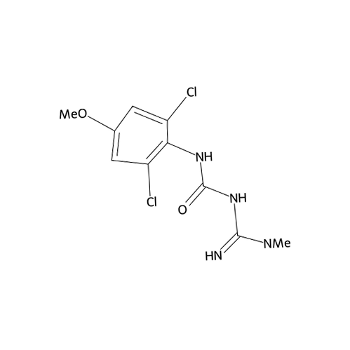 CNC(=N)NC(=O)Nc1c(Cl)cc(OC)cc1Cl